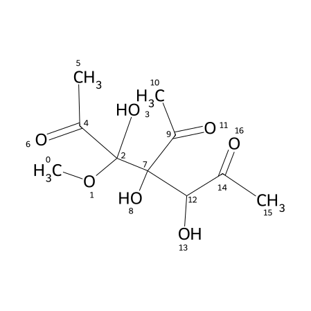 COC(O)(C(C)=O)C(O)(C(C)=O)C(O)C(C)=O